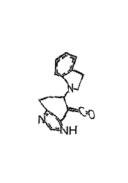 O=C=C1c2[nH]cnc2CCC1N1CCc2ccccc21